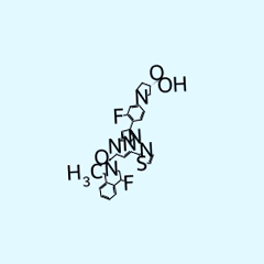 C[C@@H]1c2ccccc2[C@H](F)CN1C(=O)c1cc(-c2nccs2)n2nc(-c3ccc(N4CC[C@H](C(=O)O)C4)cc3F)cc2n1